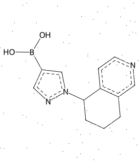 OB(O)c1cnn(C2CCCc3cnccc32)c1